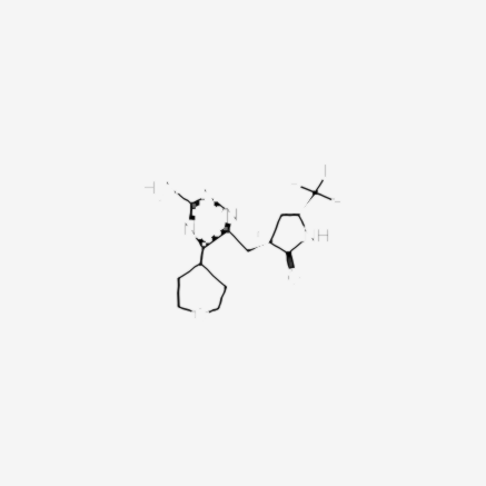 Nc1nnc(C[C@H]2C[C@@H](C(F)(F)F)NC2=O)c(C2CCOCC2)n1